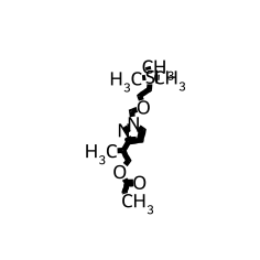 CCC(=O)OCC(C)c1ccn(COCC[Si](C)(C)C)n1